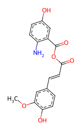 COc1cc(C=CC(=O)OC(=O)c2cc(O)ccc2N)ccc1O